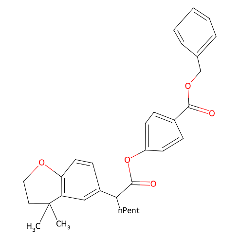 CCCCCC(C(=O)Oc1ccc(C(=O)OCc2ccccc2)cc1)c1ccc2c(c1)C(C)(C)CCO2